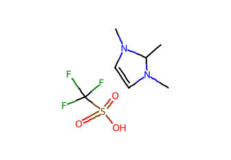 CC1N(C)C=CN1C.O=S(=O)(O)C(F)(F)F